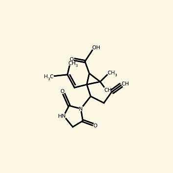 C#CCC(N1C(=O)CNC1=O)C1(C=C(C)C)C(C(=O)O)C1(C)C